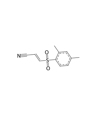 Cc1ccc(S(=O)(=O)C=CC#N)c(C)c1